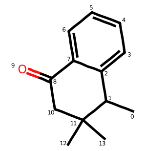 CC1c2ccccc2C(=O)CC1(C)C